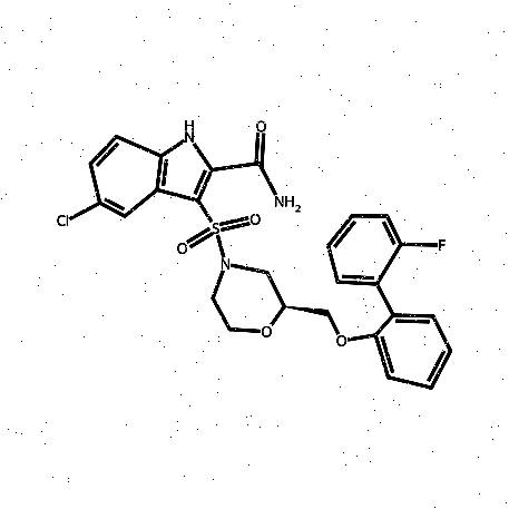 NC(=O)c1[nH]c2ccc(Cl)cc2c1S(=O)(=O)N1CCO[C@H](COc2ccccc2-c2ccccc2F)C1